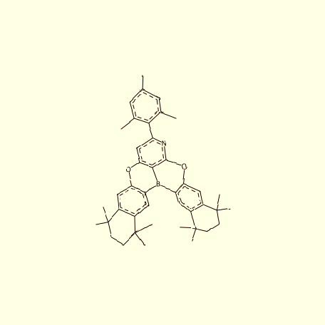 Cc1cc(C)c(-c2cc3c4c(n2)Oc2cc5c(cc2B4c2cc4c(cc2O3)C(C)(C)CCC4(C)C)C(C)(C)CCC5(C)C)c(C)c1